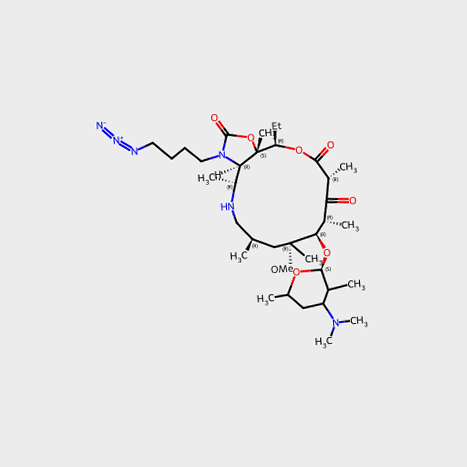 CC[C@H]1OC(=O)[C@H](C)C(=O)[C@H](C)[C@@H](O[C@@H]2OC(C)CC(N(C)C)C2C)[C@](C)(OC)C[C@@H](C)CN[C@H](C)[C@H]2N(CCCCN=[N+]=[N-])C(=O)O[C@]12C